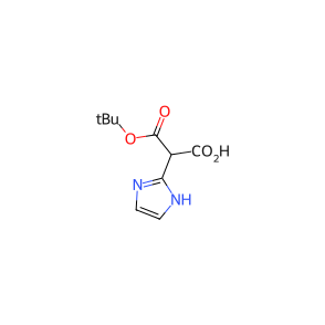 CC(C)(C)OC(=O)C(C(=O)O)c1ncc[nH]1